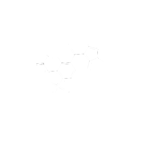 Cc1c(C(=O)c2cnn(C)c2O)ccc(S(C)(=O)=O)c1NC(N)=O